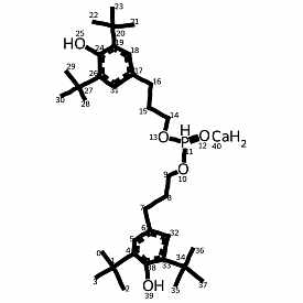 CC(C)(C)c1cc(CCCO[PH](=O)OCCCc2cc(C(C)(C)C)c(O)c(C(C)(C)C)c2)cc(C(C)(C)C)c1O.[CaH2]